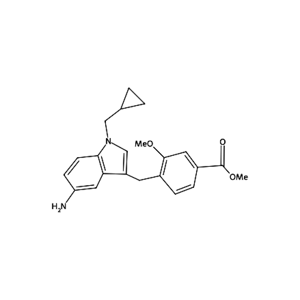 COC(=O)c1ccc(Cc2cn(CC3CC3)c3ccc(N)cc23)c(OC)c1